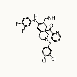 N=CC1=C(Nc2ccc(F)c(F)c2)C=C2CCN(Sc3ccc(Cl)c(Cl)c3)CC2(C(=O)c2ccccn2)C1